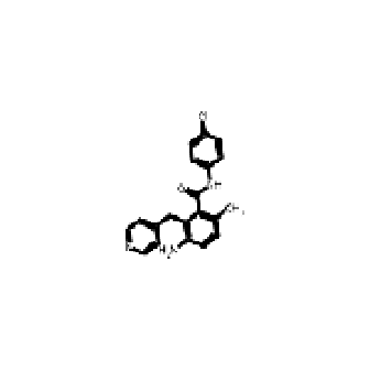 Cc1ccc(N)c(Cc2ccncc2)c1C(=O)Nc1ccc(Cl)cc1